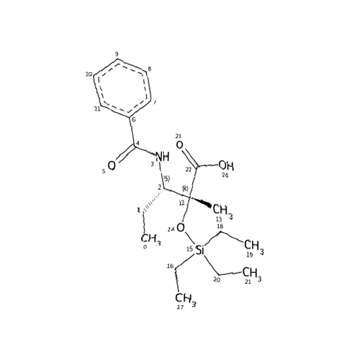 CC[C@H](NC(=O)c1ccccc1)[C@@](C)(O[Si](CC)(CC)CC)C(=O)O